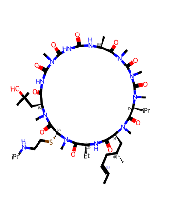 C/C=C/C[C@@H](C)C[C@H]1C(=O)N[C@@H](CC)C(=O)N(C)[C@H](SCCNC(C)C)C(=O)N(C)[C@@H](CC(C)(C)O)C(=O)NC(=O)N(C)C(=O)NC(=O)N[C@@H](C)C(=O)N(C)C(=O)N(C)C(=O)N(C)[C@@H](C(C)C)C(=O)N1C